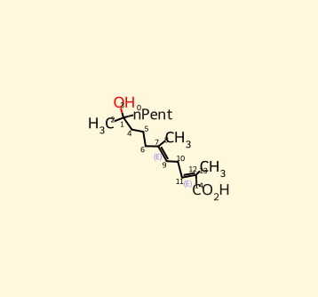 CCCCCC(C)(O)CCC/C(C)=C/C/C=C(\C)C(=O)O